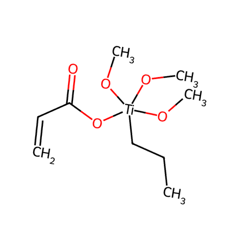 C=CC(=O)[O][Ti]([CH2]CC)([O]C)([O]C)[O]C